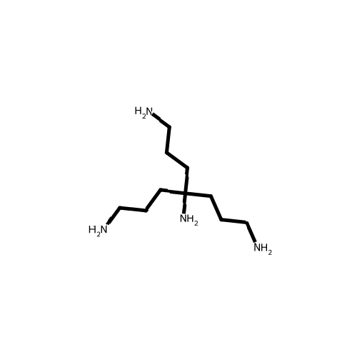 NCCCC(N)(CCCN)CCCN